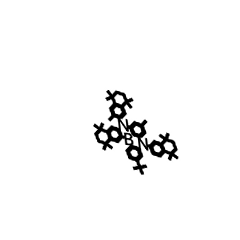 Cc1cc2c3c(c1)N(c1cc4c(cc1C)C(C)(C)CCC4(C)C)c1cc4c(cc1B3c1ccc(C(C)(C)C)cc1N2c1ccc2c(c1)C(C)(C)CCC2(C)C)C(C)(C)CCC4(C)C